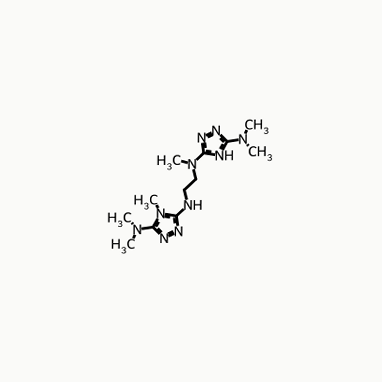 CN(C)c1nnc(N(C)CCNc2nnc(N(C)C)n2C)[nH]1